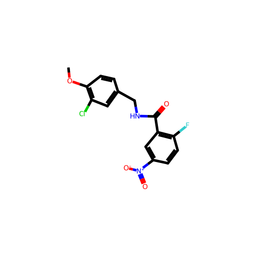 COc1ccc(CNC(=O)c2cc([N+](=O)[O-])ccc2F)cc1Cl